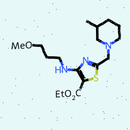 CCOC(=O)c1sc(CN2CCCC(C)C2)nc1NCCCOC